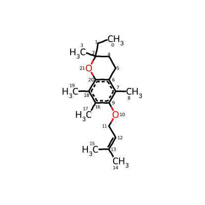 CCC1(C)CCc2c(C)c(OCC=C(C)C)c(C)c(C)c2O1